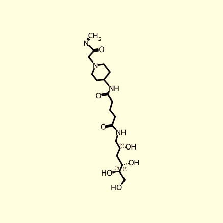 C=NC(=O)CN1CCC(NC(=O)CCCC(=O)NC[C@H](O)C[C@H](O)[C@H](O)CO)CC1